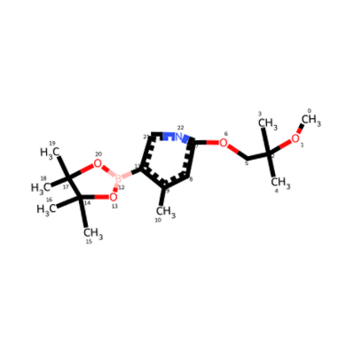 COC(C)(C)COc1cc(C)c(B2OC(C)(C)C(C)(C)O2)cn1